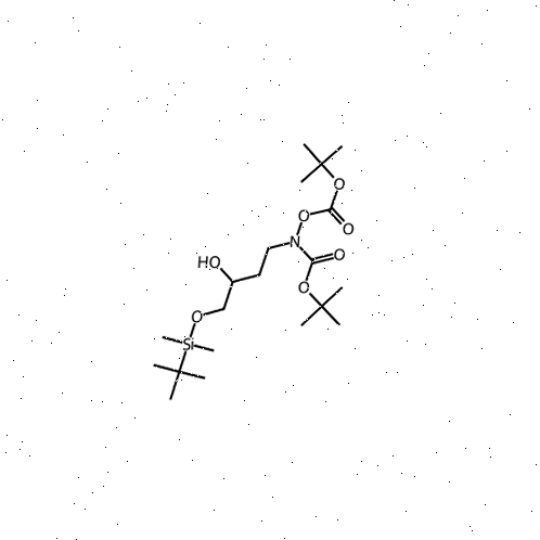 CC(C)(C)OC(=O)ON(CCC(O)CO[Si](C)(C)C(C)(C)C)C(=O)OC(C)(C)C